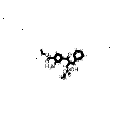 CCOC(=O)c1ccc(C(=O)C(Cc2ccccc2)CP(=O)(O)OCC)cc1N